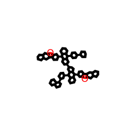 c1ccc(-c2ccc(-c3c4ccccc4c(-c4ccc5c(c4)oc4cc6ccccc6cc45)c4ccc(-c5ccc6c(-c7ccc8c(c7)oc7cc9ccccc9cc78)c7ccccc7c(-c7cccc(-c8cccc9ccccc89)c7)c6c5)cc34)cc2)cc1